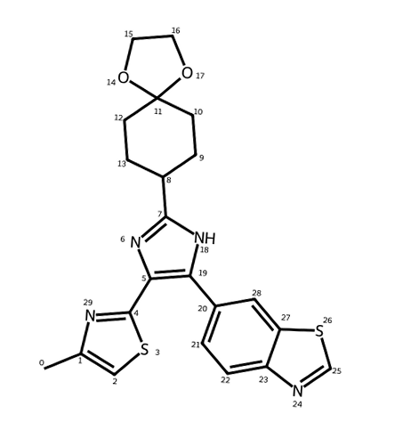 Cc1csc(-c2nc(C3CCC4(CC3)OCCO4)[nH]c2-c2ccc3ncsc3c2)n1